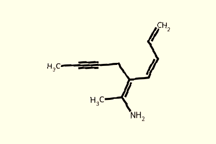 C=C/C=C\C(CC#CC)=C(\C)N